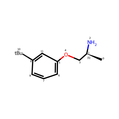 C[C@H](N)COc1cccc(C(C)(C)C)c1